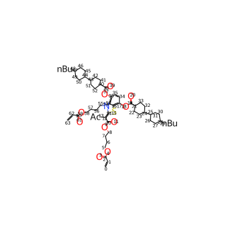 C=CC(=O)OCCCCOC(=O)/C(C(C)=O)=C1\Sc2c(OC(=O)C3CCC(C4CCC(CCCC)CC4)CC3)ccc(OC(=O)C3CCC(C4CCC(CCCC)CC4)CC3)c2N1CCCCOC(=O)C=C